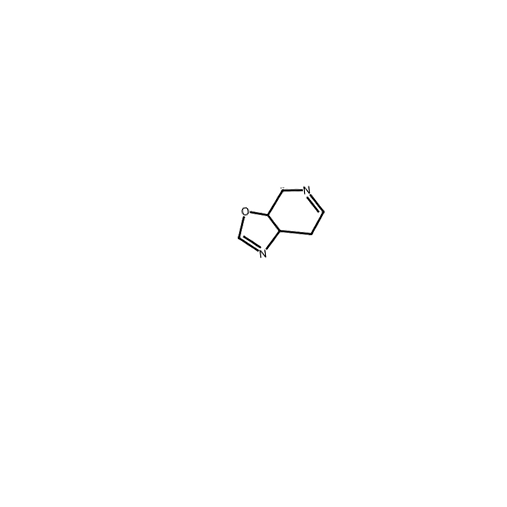 [C]1N=CCC2N=COC12